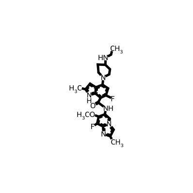 CCNC1CCN(c2cc(F)c(C(=O)Nc3cn4cc(C)nc4c(F)c3OC)c3[nH]c(C)cc23)CC1